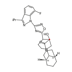 CC(C)c1nn(-c2noc(C3CCN(C4[C@@H]5CCC[C@H]4CN(C(=O)CO)C5)CC3)n2)c2c(F)cccc12